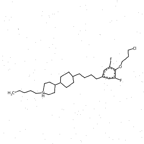 CCCCC[SiH]1CCC(C2CCC(CCCCc3cc(F)c(OCCCCl)c(F)c3)CC2)CC1